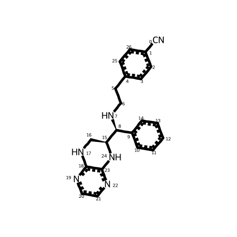 N#Cc1ccc(CCN[C@@H](c2ccccc2)[C@@H]2CNc3nccnc3N2)cc1